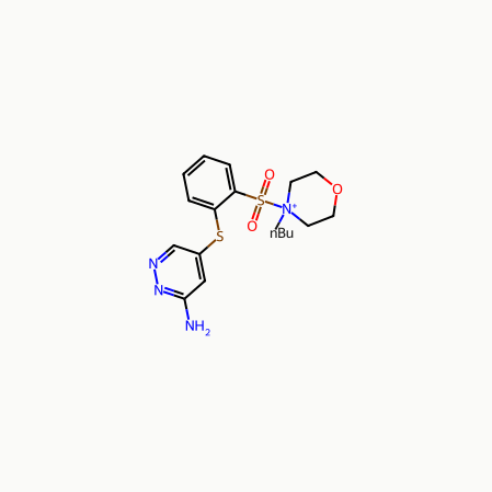 CCCC[N+]1(S(=O)(=O)c2ccccc2Sc2cnnc(N)c2)CCOCC1